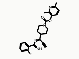 C#C/C(=N\C(=N)c1ccccc1F)C1CCN(C(=O)Oc2ccc(C)nc2C)CC1